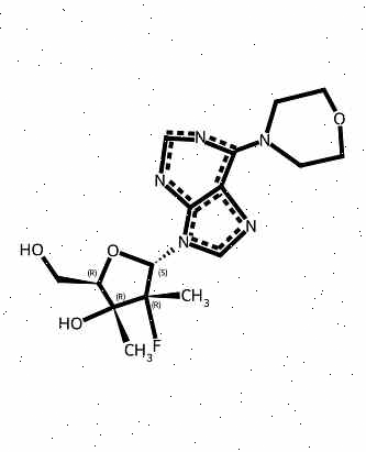 C[C@]1(F)[C@@H](n2cnc3c(N4CCOCC4)ncnc32)O[C@H](CO)[C@@]1(C)O